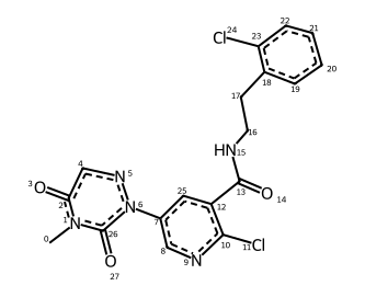 Cn1c(=O)cnn(-c2cnc(Cl)c(C(=O)NCCc3ccccc3Cl)c2)c1=O